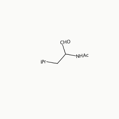 CC(=O)NC(C=O)CC(C)C